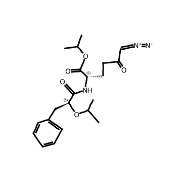 CC(C)OC(=O)[C@H](CCC(=O)C=[N+]=[N-])NC(=O)[C@H](Cc1ccccc1)OC(C)C